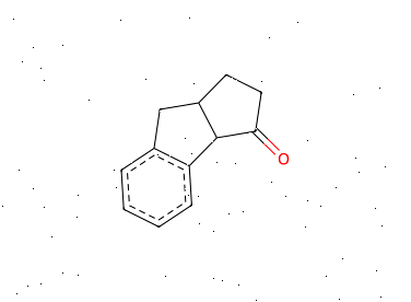 O=C1CCC2Cc3ccccc3C12